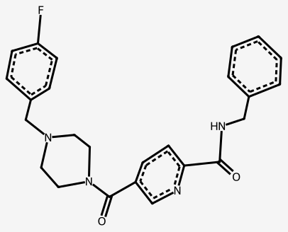 O=C(NCc1ccccc1)c1ccc(C(=O)N2CCN(Cc3ccc(F)cc3)CC2)cn1